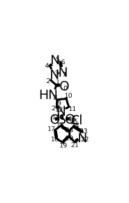 O=C(Cn1cncn1)NC1CCN(S(=O)(=O)c2cccc3cncc(Cl)c23)C1